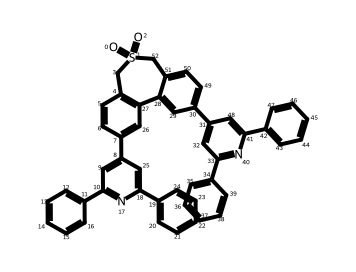 O=S1(=O)Cc2ccc(-c3cc(-c4ccccc4)nc(-c4ccccc4)c3)cc2-c2cc(-c3cc(-c4ccccc4)nc(-c4ccccc4)c3)ccc2C1